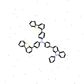 c1ccc(-n2c3ccccc3c3ccc(-c4ccc(N(c5ccc(-c6cccc7c6sc6ccccc67)cc5)c5ccc(-c6cccc7c6sc6ccccc67)cc5)cc4)cc32)cc1